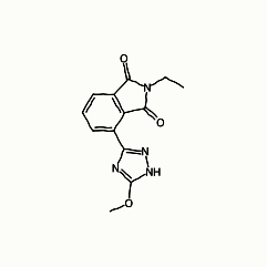 CCN1C(=O)c2cccc(-c3n[nH]c(OC)n3)c2C1=O